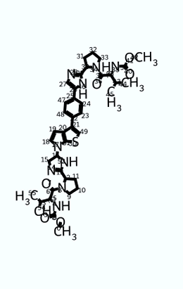 COC(=O)N[C@H](C(=O)N1CCCC1C1=NCC(n2ccc3c(-c4ccc(-c5cnc(C6CCCN6C(=O)[C@@H](NC(=O)OC)C(C)C)[nH]5)cc4)csc32)N1)C(C)C